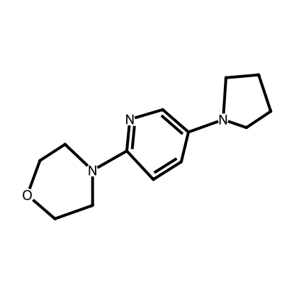 c1cc(N2CCOCC2)ncc1N1CCCC1